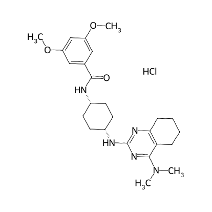 COc1cc(OC)cc(C(=O)N[C@H]2CC[C@@H](Nc3nc4c(c(N(C)C)n3)CCCC4)CC2)c1.Cl